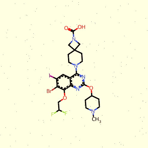 CN1CCC(Oc2nc(N3CCC4(CC3)CN(C(=O)O)C4)c3cc(I)c(Br)c(OCC(F)F)c3n2)CC1